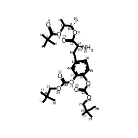 CC(OC(=O)C(C)(C)C)[C@H](C)OC(=O)[C@@H](N)Cc1ccc(OC(=O)OCC(C)(C)C)c(OC(=O)OCC(C)(C)C)c1